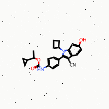 CC(OC(=O)Nc1ccc(-c2c(C#N)c3ccc(O)cc3n2C2CCC2)cc1)C1CC1